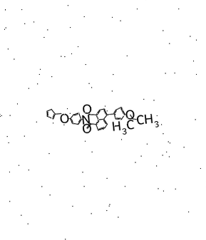 CC(C)Oc1ccc(-c2ccc3c4c(cccc24)C(=O)N(c2ccc(OCC4=CC=CC4)cc2)C3=O)cc1